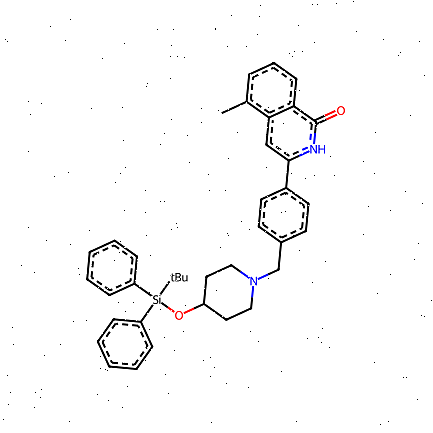 Cc1cccc2c(=O)[nH]c(-c3ccc(CN4CCC(O[Si](c5ccccc5)(c5ccccc5)C(C)(C)C)CC4)cc3)cc12